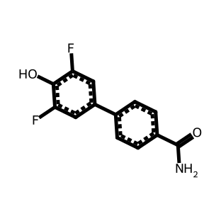 NC(=O)c1ccc(-c2cc(F)c(O)c(F)c2)cc1